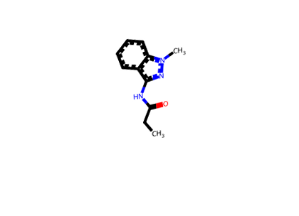 CCC(=O)Nc1nn(C)c2ccccc12